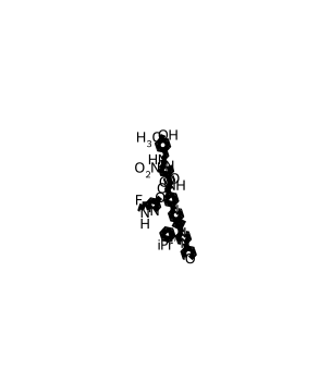 CC(C)c1ccccc1[C@@H]1CN(C2CCOCC2)CCN1C1CC2(CCN(c3ccc(C(=O)NS(=O)(=O)c4cnc(NCC5CCC(C)(O)CC5)c([N+](=O)[O-])c4)c(Oc4cnc5[nH]cc(F)c5c4)c3)CC2)C1